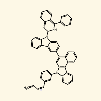 C=C/C=C\c1cccc(-n2c3ccccc3c3c4ccccc4c(-c4ccc5c(c4)c4ccccc4n5C4N=c5ccccc5=C(c5ccccc5)N4)cc32)c1